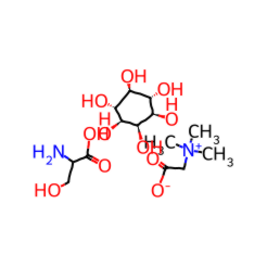 C[N+](C)(C)CC(=O)[O-].NC(CO)C(=O)O.O[C@H]1[C@H](O)[C@@H](O)[C@H](O)[C@@H](O)[C@H]1O